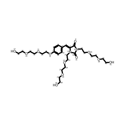 O=C1C(=Cc2ccc(OCCOCCOCCO)cc2)N(CCOCCOCCO)C(=O)N1CCOCCOCCO